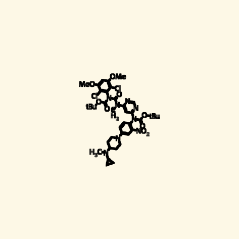 COc1cc(OC)c(Cl)c(N(C(=O)OC(C)(C)C)C(=O)N(C)c2cc(N(C(=O)OC(C)(C)C)c3ccc(N4CCC(N(C)C5CC5)CC4)cc3[N+](=O)[O-])ncn2)c1Cl